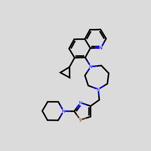 c1cnc2c(N3CCCN(Cc4csc(N5CCCCC5)n4)CC3)c(C3CC3)ccc2c1